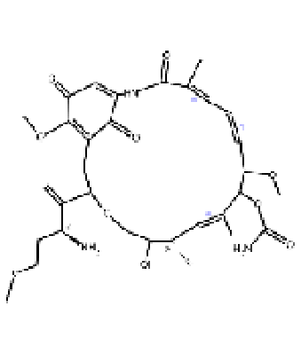 C=C(C1CCC(O)[C@@H](C)/C=C(\C)C(OC(N)=O)C(OC)/C=C\C=C(/C)C(=O)NC2=CC(=O)C(OC)=C(C1)C2=O)[C@@H](N)CCSC